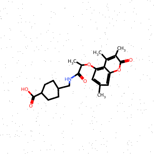 Cc1cc(OC(C)C(=O)NCC2CCC(C(=O)O)CC2)c2c(C)c(C)c(=O)oc2c1